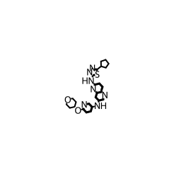 c1cc(OC2CCOCC2)ncc1Nc1cnc2ccc(Nc3nnc(C4CCCC4)s3)nc2c1